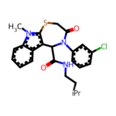 CC(C)CCNC(=O)C1c2c(n(C)c3ccccc23)SCC(=O)N1c1cccc(Cl)c1